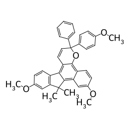 COc1ccc(C2(c3ccccc3)C=Cc3c4c(c5cc(OC)ccc5c3O2)C(C)(C)c2cc(OC)ccc2-4)cc1